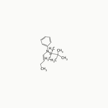 CCC=CN(c1ccccc1)[Si](C)(C)C(C)(C)C